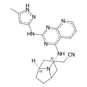 Cc1cc(Nc2nc(N[C@@H]3CC4CC[C@@H](C3)N4CCC#N)c3cccnc3n2)n[nH]1